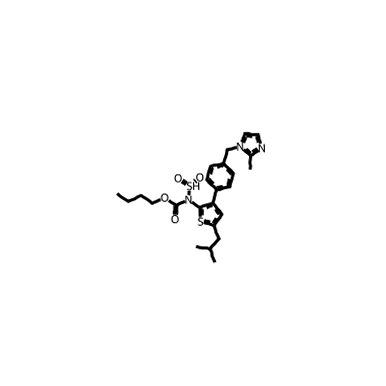 CCCCOC(=O)N(c1sc(CC(C)C)cc1-c1ccc(Cn2ccnc2C)cc1)[SH](=O)=O